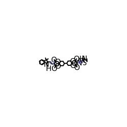 C[N+]1=C(/C=C/C2=C(O)OC3(CCC(C4CCC5(CC4)OC(=O)C(/N=N/c4nccs4)=C(O)O5)CC3)OC2=O)C(C)(C)c2ccccc21